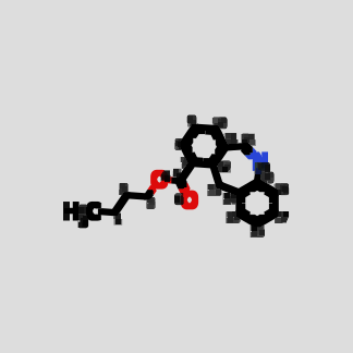 CCCCOC(=O)c1cccc2c1Cc1ccccc1N=C2